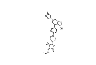 C=N/C(=C\N=C/C)C1(C(=O)N2CCN(c3ccc(-c4cc(-c5cnn(C)c5)cn5ncc(C#N)c45)cn3)CC2)CC1